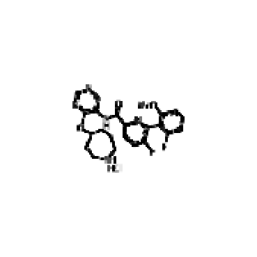 COc1cccc(F)c1-c1nc(C(=O)Nc2cncnc2OC2CCCNCC2)ccc1F.Cl